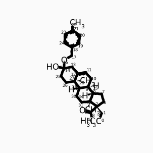 CC[C@]1(C(C)=O)CC[C@H]2[C@@H]3CC=C4CC(O)(OCc5ccc(C)cc5)CC[C@]4(C)[C@H]3CC[C@@]21C